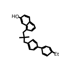 CCc1ccc(-c2ccc(CC(C)(C)Cc3cccc4ccc(O)cc34)cc2)cc1